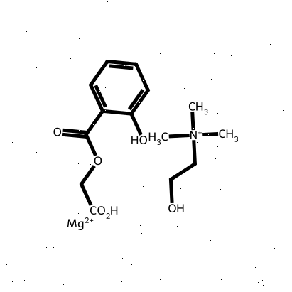 C[N+](C)(C)CCO.O=C(O)COC(=O)c1ccccc1O.[Mg+2]